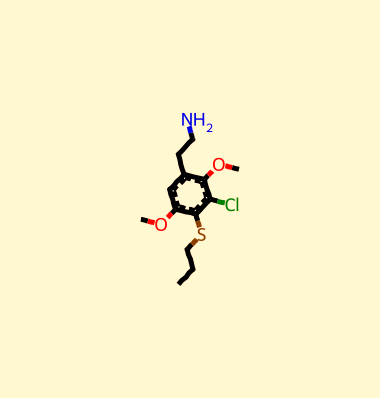 CCCSc1c(OC)cc(CCN)c(OC)c1Cl